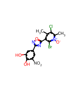 Cc1c(Cl)c(C)[n+]([O-])c(Br)c1-c1nc(-c2cc(O)c(O)c([N+](=O)[O-])c2)no1